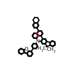 CC1(C)c2ccccc2-c2cc(-c3ccc(-c4ccc5c(c4)CCCC5)cc3)c(N(c3ccccc3)c3ccc(-c4cccc5c4oc4ccccc45)cc3)cc21